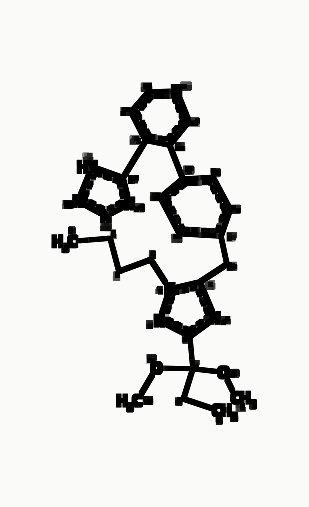 CCCCn1nc(C(CC)(OC)OC)nc1Cc1ccc(-c2cnccc2-c2nnn[nH]2)cc1